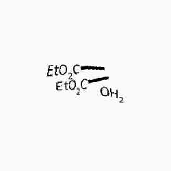 C[CH]OC(C)=O.C[CH]OC(C)=O.O